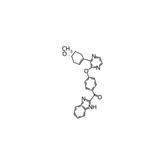 CO[C@H]1CC=C(c2nccnc2Oc2ccc(C(=O)c3nc4ccccc4[nH]3)cc2)CC1